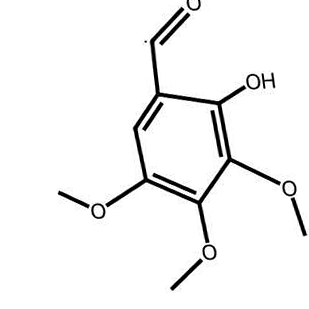 COc1cc([C]=O)c(O)c(OC)c1OC